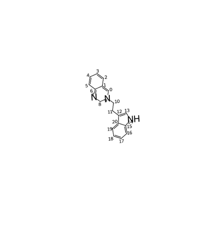 C1=c2ccccc2=NCN1CCc1c[nH]c2ccccc12